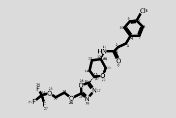 O=C(CCc1ccc(Cl)cc1)N[C@@H]1CC[C@@H](c2nnc(OCCOC(F)(F)F)o2)OC1